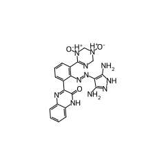 Nc1n[nH]c(N)c1N=Nc1c(C2=NC[NH+]([O-])C[NH+]2[O-])cccc1-c1nc2ccccc2[nH]c1=O